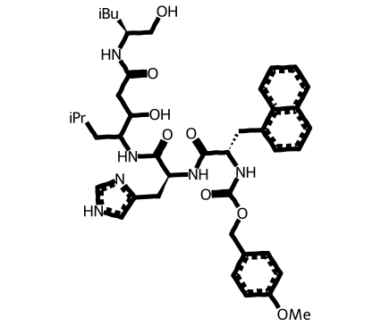 CCC(C)[C@@H](CO)NC(=O)CC(O)C(CC(C)C)NC(=O)[C@H](Cc1c[nH]cn1)NC(=O)[C@H](Cc1cccc2ccccc12)NC(=O)OCc1ccc(OC)cc1